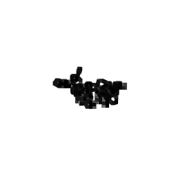 C#CCCC(NC(=O)[C@@H]1[C@@H]2[C@H](CN1C(=O)[C@@H](NC(=O)NC1(CS(=O)(=O)C(C)(C)C)CCCCC1)C1(C)CCCCC1)C2(C)C)C(=O)C(=O)NCC1CCC1